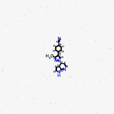 Cc1nn(C2C=CN=C3NC=CC32)cc1-c1ccc(C#N)cc1